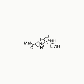 CNC(=O)c1ccn2c(-c3nc(NC4CCCNC4)c(F)cc3F)cnc2c1